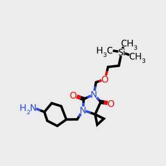 C[Si](C)(C)CCOCN1C(=O)N(CC2CCC(N)CC2)C2(CC2)C1=O